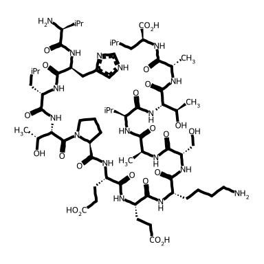 CC(C)C[C@H](NC(=O)[C@H](C)NC(=O)[C@@H](NC(=O)[C@@H](NC(=O)[C@H](C)NC(=O)[C@H](CO)NC(=O)[C@H](CCCCN)NC(=O)[C@H](CCC(=O)O)NC(=O)[C@H](CCC(=O)O)NC(=O)[C@@H]1CCCN1C(=O)[C@@H](NC(=O)[C@H](CC(C)C)NC(=O)[C@H](Cc1c[nH]cn1)NC(=O)[C@@H](N)C(C)C)[C@@H](C)O)C(C)C)[C@@H](C)O)C(=O)O